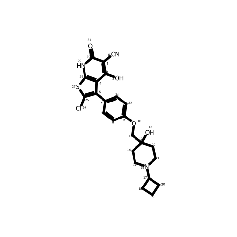 N#Cc1c(O)c2c(-c3ccc(OCC4(O)CCN(C5CCC5)CC4)cc3)c(Cl)sc2[nH]c1=O